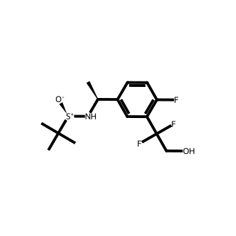 C[C@H](N[S@+]([O-])C(C)(C)C)c1ccc(F)c(C(F)(F)CO)c1